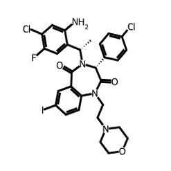 C[C@@H](c1cc(F)c(Cl)cc1N)N1C(=O)c2cc(I)ccc2N(CCN2CCOCC2)C(=O)[C@H]1c1ccc(Cl)cc1